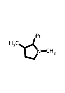 CC(C)C1C(C)CCN1C